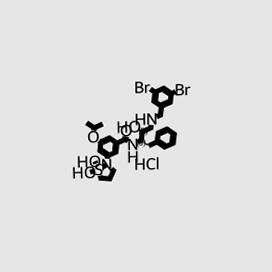 CC(C)Oc1cc(C(=O)N[C@@H](Cc2ccccc2)[C@H](O)CNCc2cc(Br)cc(Br)c2)cc(N2CCCS2(O)O)c1.Cl